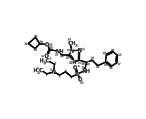 CCN(CC)CCCS(=O)(=O)N[C@H](CCc1ccccc1)c1nc(CNC(=O)OC2CCC2)n(C)n1